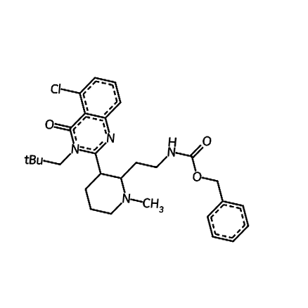 CN1CCCC(c2nc3cccc(Cl)c3c(=O)n2CC(C)(C)C)C1CCNC(=O)OCc1ccccc1